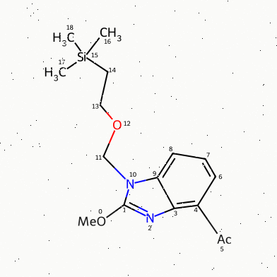 COc1nc2c(C(C)=O)cccc2n1COCC[Si](C)(C)C